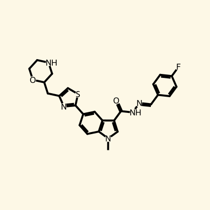 Cn1cc(C(=O)NN=Cc2ccc(F)cc2)c2cc(-c3nc(CC4CNCCO4)cs3)ccc21